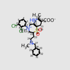 CC[N+]1(c2cccc(Cl)c2Cl)CC2=C(CC(C(=O)[O-])=C(C)N2)S(=O)(=O)C(CCN(C)Cc2ccccc2)C1